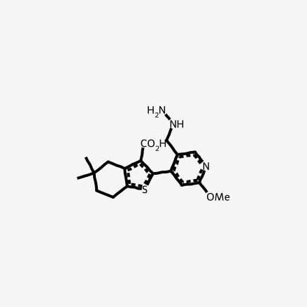 COc1cc(-c2sc3c(c2C(=O)O)CC(C)(C)CC3)c(CNN)cn1